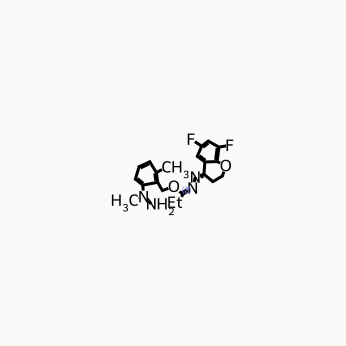 CC/C(=N/N=C1CCOc2c(F)cc(F)cc21)OCc1c(C)cccc1N(C)N